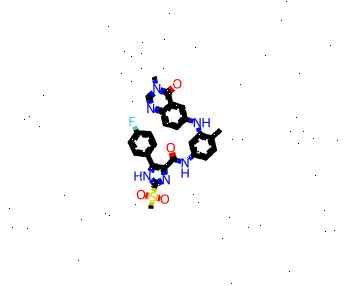 Cc1ccc(NC(=O)c2nc(S(C)(=O)=O)[nH]c2-c2ccc(F)cc2)cc1Nc1ccc2ncn(C)c(=O)c2c1